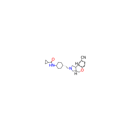 N#Cc1ccc2c(c1)[C@@H]1CN(CC[C@H]3CC[C@H](NC(=O)C4CC4)CC3)C[C@H]1CO2